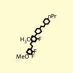 CCCC1CCC(CCC2CCC(c3cc(C)c(CCc4ccc(OC)c(F)c4F)cc3F)CC2)CC1